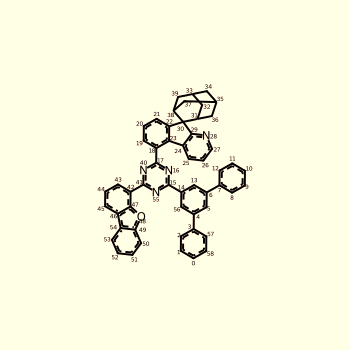 c1ccc(-c2cc(-c3ccccc3)cc(-c3nc(-c4cccc5c4-c4cccnc4C54C5CC6CC(C5)CC4C6)nc(-c4cccc5c4oc4ccccc45)n3)c2)cc1